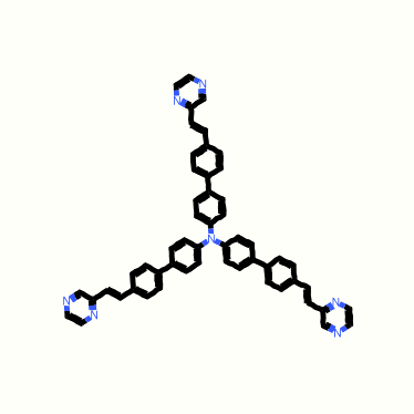 C(=C\c1cnccn1)/c1ccc(-c2ccc(N(c3ccc(-c4ccc(/C=C/c5cnccn5)cc4)cc3)c3ccc(-c4ccc(/C=C/c5cnccn5)cc4)cc3)cc2)cc1